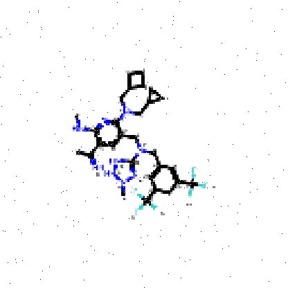 CNc1nc(N(CC2CCC2)CC2CC2)c(CN(CC2=CC(C(F)(F)F)CC(C(F)(F)F)=C2)C2=NN(C)NN2)cc1C(C)=N